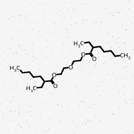 CCCCCC(CC)C(=O)OCCOCCOC(=O)C(CC)CCCCC